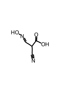 N#CC(/C=N/O)C(=O)O